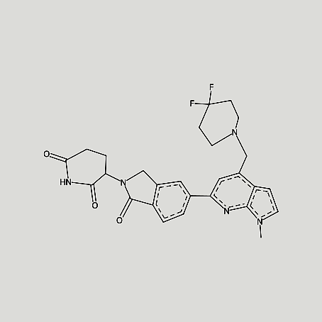 Cn1ccc2c(CN3CCC(F)(F)CC3)cc(-c3ccc4c(c3)CN(C3CCC(=O)NC3=O)C4=O)nc21